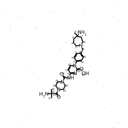 CC1(N)CCCN(Cc2ccc(-n3ccc(NC(=O)N4CCN(C(=O)C(C)(C)N)CC4)nc3=O)cc2)CC1.Cl